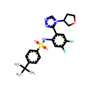 CC(C)(C)c1ccc(S(=O)(=O)Nc2cc(F)c(F)cc2-c2nncn2C2CCOC2)cc1